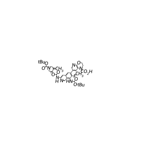 Cc1c(-c2cc3cc(NC(=O)O[C@@H]4CN(C(=O)OC(C)(C)C)C[C@H]4C)ncc3c(NC(=O)OC(C)(C)C)c2F)cnc2c1N(C(=O)O)CCO2